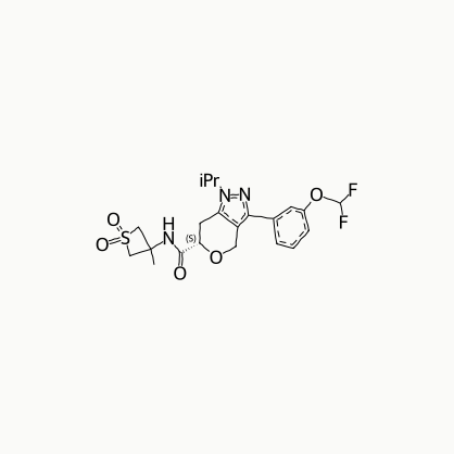 CC(C)n1nc(-c2cccc(OC(F)F)c2)c2c1C[C@@H](C(=O)NC1(C)CS(=O)(=O)C1)OC2